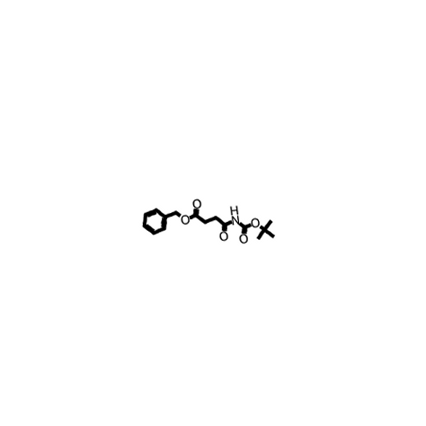 CC(C)(C)OC(=O)NC(=O)CCC(=O)OCc1ccccc1